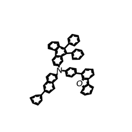 c1ccc(-c2ccc3cc(N(c4ccc(-c5cccc6c5oc5ccccc56)cc4)c4ccc5c(c4)c(-c4ccccc4)c(-c4ccccc4)c4ccccc45)ccc3c2)cc1